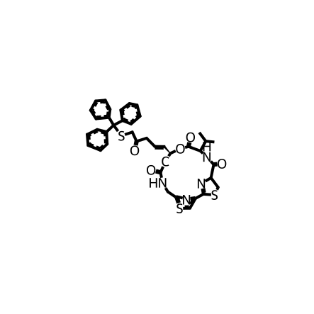 CC(C)C1NC(=O)[C@]2(C)CSC(=N2)c2csc(n2)CNC(=O)C[C@@H](/C=C/CC(=O)CSC(c2ccccc2)(c2ccccc2)c2ccccc2)OC1=O